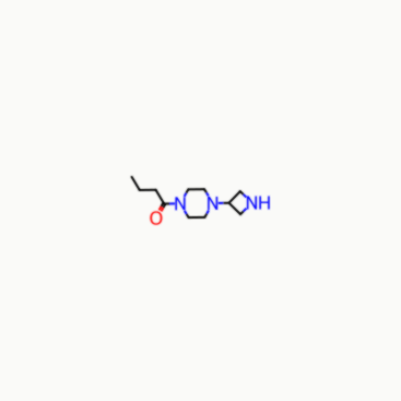 CCCC(=O)N1CCN(C2CNC2)CC1